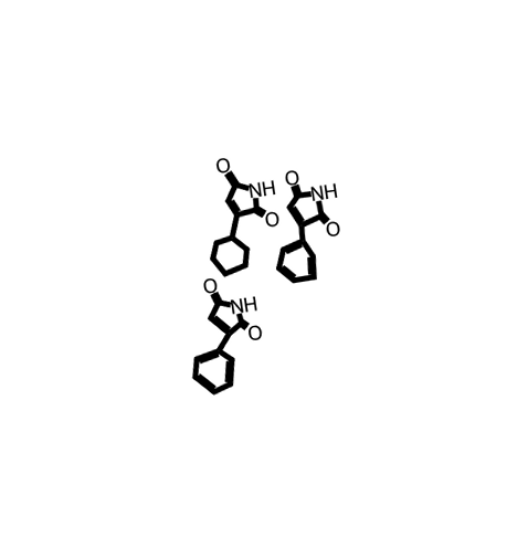 O=C1C=C(C2CCCCC2)C(=O)N1.O=C1C=C(c2ccccc2)C(=O)N1.O=C1C=C(c2ccccc2)C(=O)N1